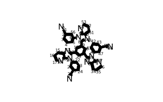 N#Cc1cccc(-n2c(-c3cc(-c4nc5cccnc5n4-c4cccc(C#N)c4)cc(-c4nc5cccnc5n4-c4cccc(C#N)c4)c3)nc3cccnc32)c1